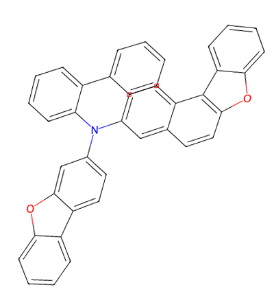 c1ccc(-c2ccccc2N(c2ccc3c(ccc4oc5ccccc5c43)c2)c2ccc3c(c2)oc2ccccc23)cc1